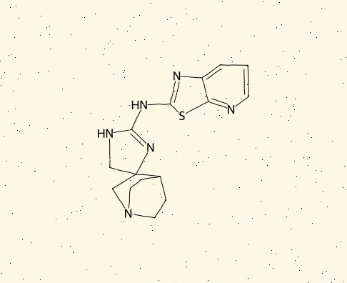 c1cnc2sc(NC3=NC4(CN3)CN3CCC4CC3)nc2c1